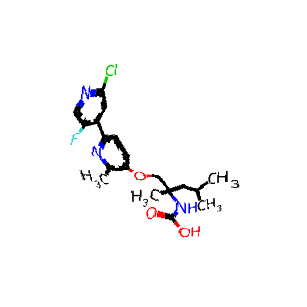 Cc1nc(-c2cc(Cl)ncc2F)ccc1OCC(C)(CC(C)C)NC(=O)O